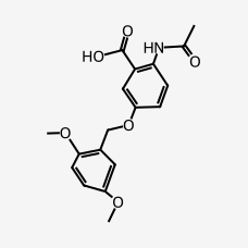 COc1ccc(OC)c(COc2ccc(NC(C)=O)c(C(=O)O)c2)c1